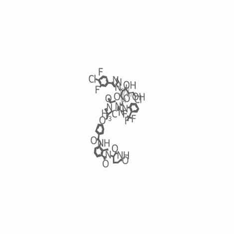 Cc1nc([C@@H]2O[C@H](CO)[C@H](O)[C@H](n3cc(-c4cc(F)c(Cl)c(F)c4)nn3)[C@H]2OCC(=O)N2CC(COc3ccc(C(=O)Nc4cccc5c4CN(C4CCC(=O)NC4=O)C5=O)cc3)C2)n(-c2cc(Cl)ccc2C(F)(F)F)n1